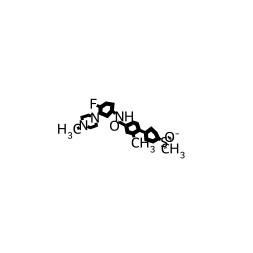 Cc1cc(C(=O)Nc2ccc(F)c(N3CCN(C)CC3)c2)ccc1-c1ccc([S+](C)[O-])cc1